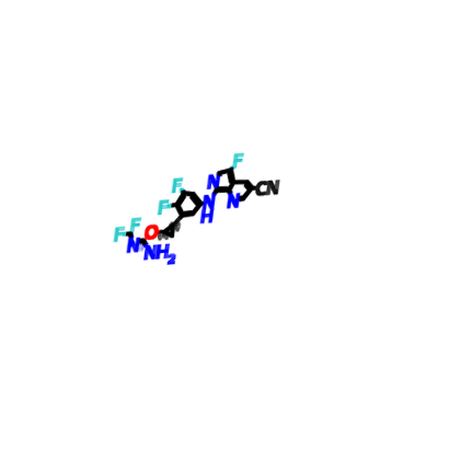 N#Cc1cnc2c(Nc3cc(F)c(F)c([C@H]4C[C@H]4O/C(N)=N\C(F)F)c3)ncc(F)c2c1